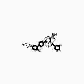 C[C@@H](C[C@H](NC(=O)c1ccc(-c2cc(C(=O)O)ccc2Cl)cc1)C(=O)N(C)C#N)c1ccccc1